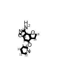 Nc1noc2cc(Oc3ccccn3)c3c(c12)OCC3